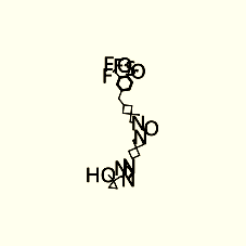 CS(=O)(=O)c1ccc(CC2CC3(C2)CN(C(=O)N2CC4(CC(n5cnc(C6(O)CC6)n5)C4)C2)C3)cc1C(F)(F)F